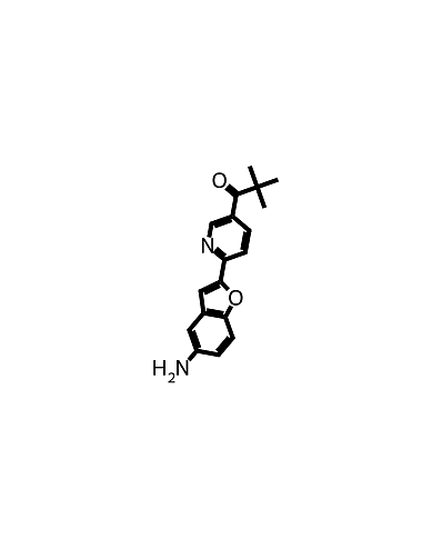 CC(C)(C)C(=O)c1ccc(-c2cc3cc(N)ccc3o2)nc1